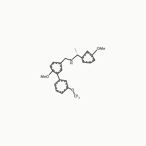 COc1cccc([C@@H](C)NCc2ccc(OC)c(-c3cccc(OC(F)(F)F)c3)c2)c1